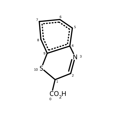 O=C(O)C1C=Nc2ccccc2S1